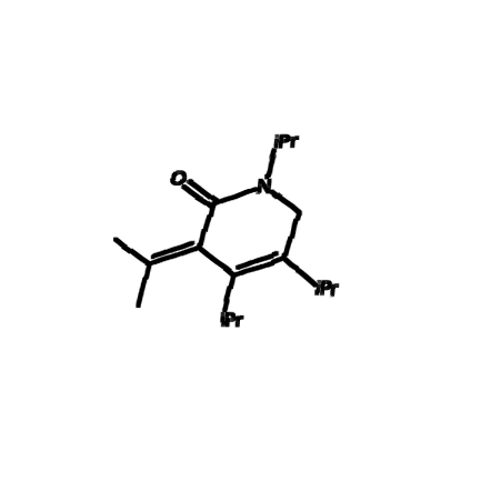 CC(C)=C1C(=O)N(C(C)C)CC(C(C)C)=C1C(C)C